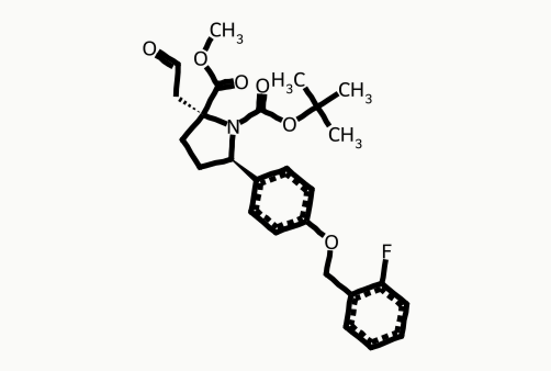 COC(=O)[C@]1(CC=O)CC[C@H](c2ccc(OCc3ccccc3F)cc2)N1C(=O)OC(C)(C)C